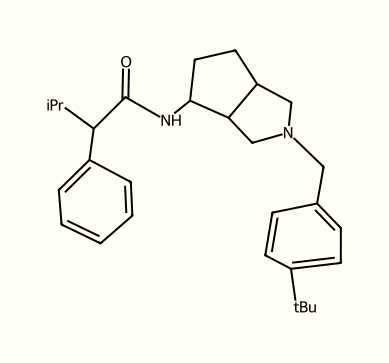 CC(C)C(C(=O)NC1CCC2CN(Cc3ccc(C(C)(C)C)cc3)CC21)c1ccccc1